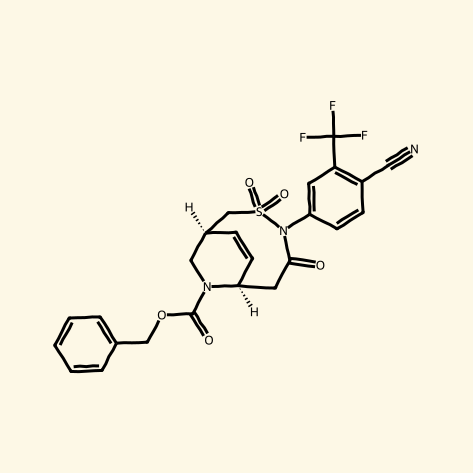 N#Cc1ccc(N2C(=O)C[C@@H]3C=C[C@@H](CN3C(=O)OCc3ccccc3)CS2(=O)=O)cc1C(F)(F)F